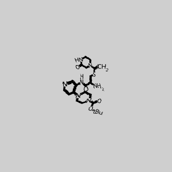 C=C(S/C=C(\N)C(=O)Nc1cnccc1N1CCN(C(=O)OC(C)(C)C)CC1)N1CCNC(=O)C1